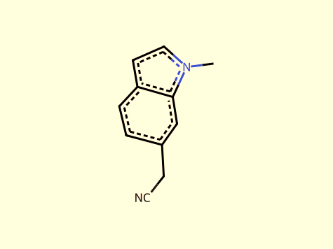 Cn1ccc2ccc(CC#N)cc21